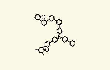 CC1Cc2c(oc3cc(-c4ccc(N(C5=CC=C(c6ccccc6)CC5)c5ccc(-c6cccc(C7=CC=CC(c8cccc9c8oc8ccccc89)C7)c6)cc5)cc4)ccc23)C(C)C1